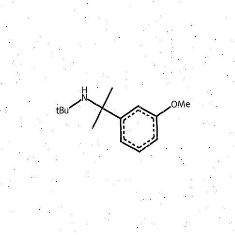 COc1cccc(C(C)(C)NC(C)(C)C)c1